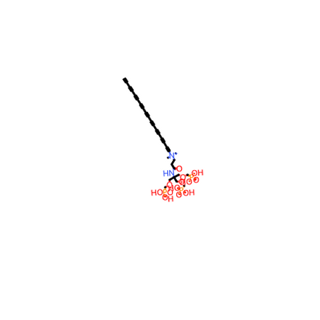 C#CC#CC#CC#CC#CC#CC#CC#CC#C[N+](C)(C)CCC(=O)NC(COCP(=O)(O)O)(COCP(=O)(O)O)COCP(=O)(O)O